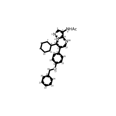 CC(=O)Nc1cnn2c(C3CCCCC3)c(-c3ccc(OCc4ccccc4)cc3)cnc12